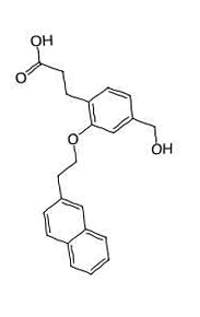 O=C(O)CCc1ccc(CO)cc1OCCc1ccc2ccccc2c1